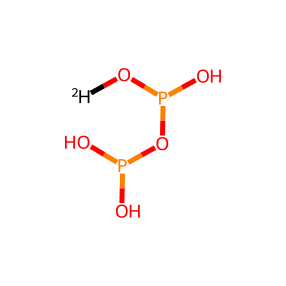 [2H]OP(O)OP(O)O